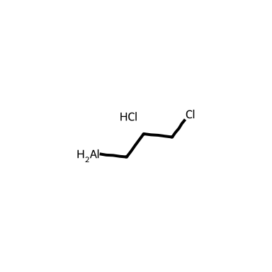 Cl.[AlH2][CH2]CCCl